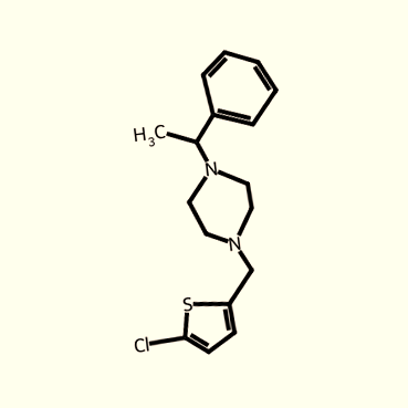 CC(c1ccccc1)N1CCN(Cc2ccc(Cl)s2)CC1